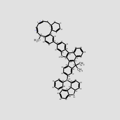 C[C@H]1/C=C\C=C/CC2=C(C=CCC2)c2cc(-c3ccc4c(c3)oc3c5c(c6ccccc6c34)C(C)(C)c3cc(N(C4=CC=CC6Sc7ccccc7C46)c4ccccc4)ccc3-5)ccc21